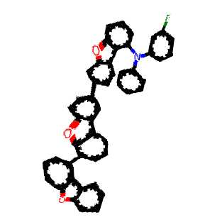 Fc1cccc(N(c2ccccc2)c2cccc3oc4cc(-c5ccc6oc7c(-c8cccc9oc%10ccccc%10c89)cccc7c6c5)ccc4c23)c1